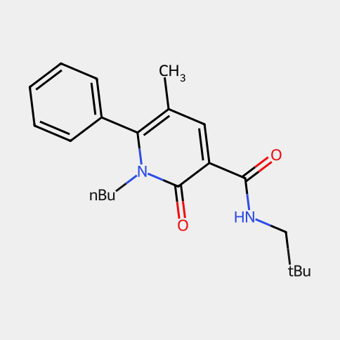 CCCCn1c(-c2ccccc2)c(C)cc(C(=O)NCC(C)(C)C)c1=O